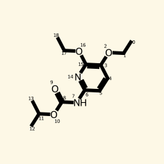 CCOc1ccc(NC(=O)OC(C)C)nc1OCC